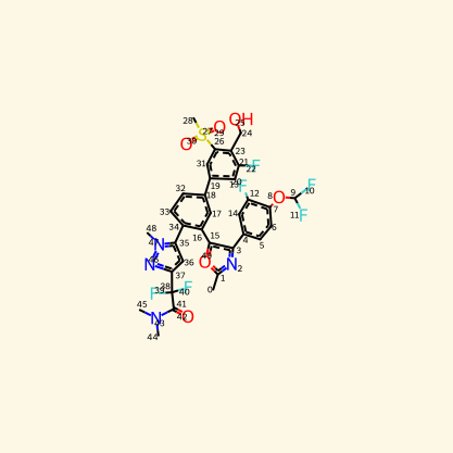 Cc1nc(-c2ccc(OC(F)F)c(F)c2)c(-c2cc(-c3cc(F)c(CO)c(S(C)(=O)=O)c3)ccc2-c2cc(C(F)(F)C(=O)N(C)C)nn2C)o1